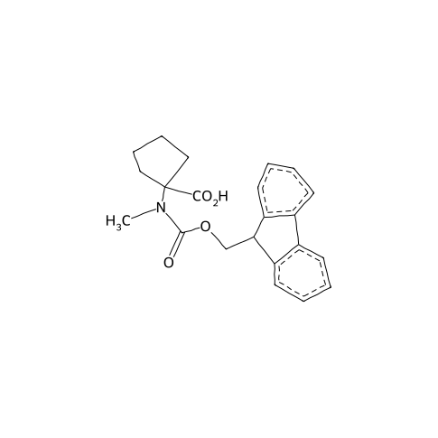 CN(C(=O)OCC1c2ccccc2-c2ccccc21)C1(C(=O)O)CCCC1